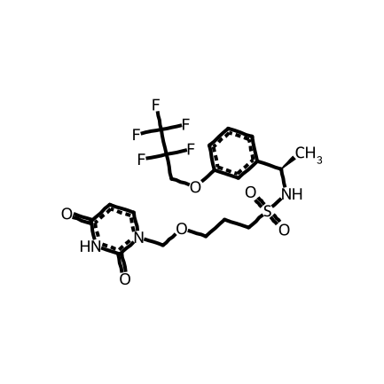 C[C@@H](NS(=O)(=O)CCCOCn1ccc(=O)[nH]c1=O)c1cccc(OCC(F)(F)C(F)(F)F)c1